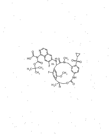 COc1cc2c(F)cc1[C@@H](C)COC(=O)Nc1ccc(S(=O)(=O)C3CC3)c(c1)CN(C)C(=O)[C@@H]2Nc1cc2ccnc(N(C(=O)O)C(=O)OC(C)(C)C)c2cc1F